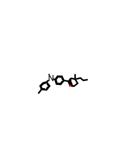 CCCC1(C)CC2C=CC1C(c1ccc(N(C)c3ccc(C)cc3)cc1)=C2